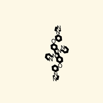 c1ccc(-n2c3cc(Oc4cccc(-n5ccnc5)c4)ccc3c3c2c2ccc(Oc4cccc(-n5ccnc5)c4)cc2n3-c2ccccn2)nc1